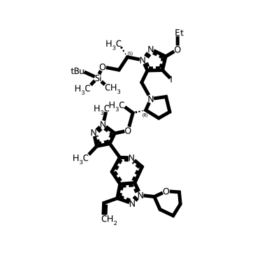 C=Cc1nn(C2CCCCO2)c2cnc(-c3c(C)nn(C)c3OC(C)[C@H]3CCCN3Cc3c(I)c(OCC)nn3[C@@H](C)CO[Si](C)(C)C(C)(C)C)cc12